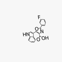 O=C(O)c1nc(-c2cccc(F)c2)oc1-c1c[nH]c2ccccc12